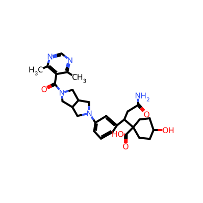 Cc1ncnc(C)c1C(=O)N1CC2CN(c3cccc(C(CC(N)=O)C4(C(=O)O)CCC(O)CC4)c3)CC2C1